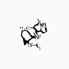 Cc1cnn2nccc2c1NC1CCCCC1C